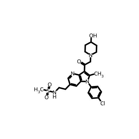 Cc1c(C(=O)CN2CCC(O)CC2)c2ncc(CCNS(C)(=O)=O)cc2n1-c1ccc(Cl)cc1